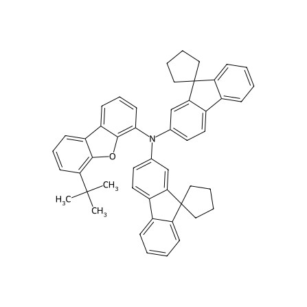 CC(C)(C)c1cccc2c1oc1c(N(c3ccc4c(c3)C3(CCCC3)c3ccccc3-4)c3ccc4c(c3)C3(CCCC3)c3ccccc3-4)cccc12